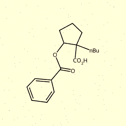 CCCCC1(C(=O)O)CCCC1OC(=O)c1ccccc1